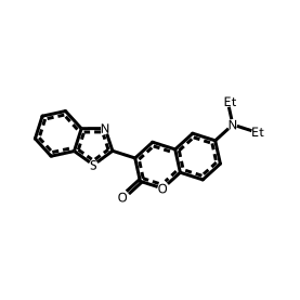 CCN(CC)c1ccc2oc(=O)c(-c3nc4ccccc4s3)cc2c1